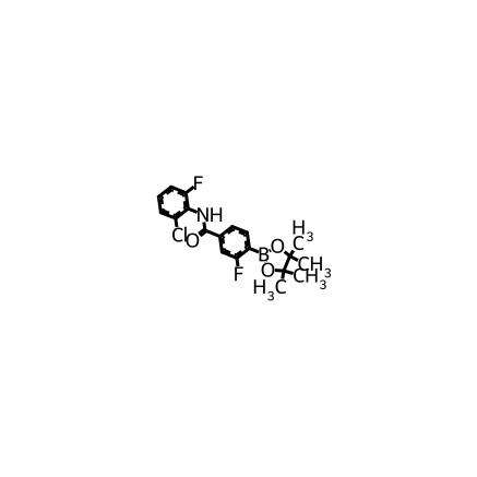 CC1(C)OB(c2ccc(C(=O)Nc3c(F)cccc3Cl)cc2F)OC1(C)C